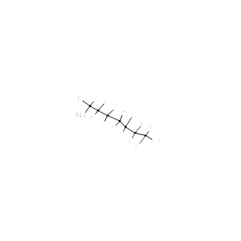 FC(F)(F)C(F)(F)C(F)(F)C(F)(F)C(F)(F)C(F)(F)C(F)(F)[C](F)(F)[Na]